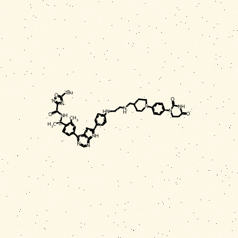 Cc1cc(-c2ncnc3[nH]c(-c4ccc(NCCNCC5CCN(c6ccc(N7CCC(=O)NC7=O)cc6)CC5)cc4)cc23)ccc1[C@@H](C)NC(=O)c1noc(C(C)(C)C)n1